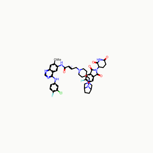 COc1cc2ncnc(Nc3ccc(F)c(Cl)c3)c2cc1NC(=O)/C=C/CN1CCC(CN2CC3CCC(C2)N3c2cc3c(cc2F)C(=O)N(C2CCC(=O)NC2=O)C3=O)CC1